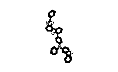 C1=CC(c2ccc(N(c3ccccc3)c3ccc4oc5ccccc5c4c3)cc2)=C2Oc3ccc4nc(-c5ccccc5)oc4c3C2C1